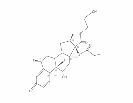 CCC(=O)O[C@]1(C(=O)SCCO)[C@H](C)CC2C3C[C@H](F)C4=CC(=O)C=C[C@]4(C)[C@@]3(F)C(O)C[C@@]21C